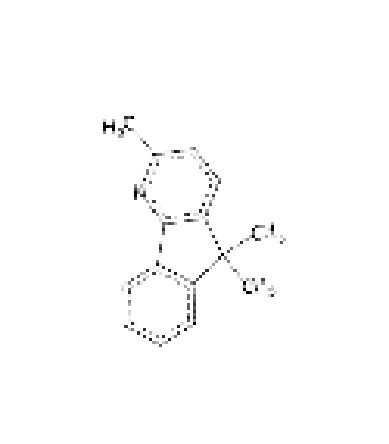 Cc1ccc2c(n1)-c1ccccc1C2(C)C